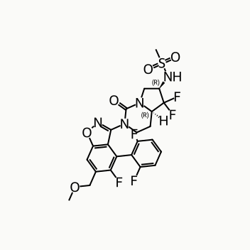 COCc1cc2onc(N3CC[C@H]4N(C[C@@H](NS(C)(=O)=O)C4(F)F)C3=O)c2c(-c2c(F)cccc2F)c1F